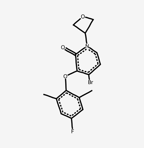 Cc1cc(F)cc(C)c1Oc1c(Br)ccn(C2COC2)c1=O